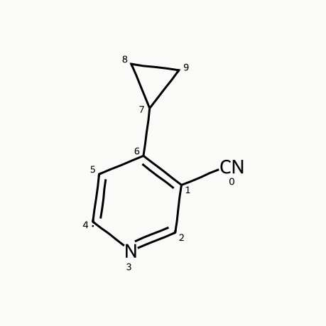 N#Cc1cn[c]cc1C1CC1